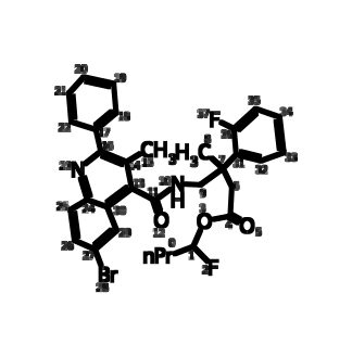 CCCC(F)OC(=O)CC(C)(CNC(=O)c1c(C)c(-c2ccccc2)nc2ccc(Br)cc12)c1ccccc1F